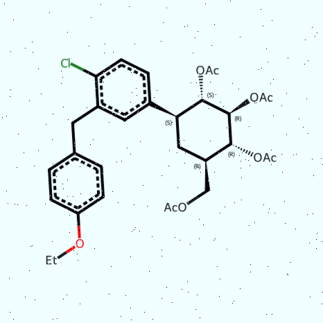 CCOc1ccc(Cc2cc([C@@H]3C[C@H](COC(C)=O)[C@@H](OC(C)=O)[C@H](OC(C)=O)[C@H]3OC(C)=O)ccc2Cl)cc1